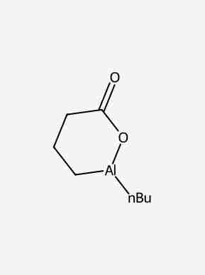 CCC[CH2][Al]1[CH2]CCC(=O)[O]1